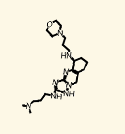 CN(C)CCCNC1=NC2=NC3=C(CCCC3NCCCN3CCOCC3)CN2N1